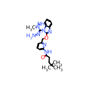 CN(N)/C(=N\N)n1c(OCc2cccc(NC(=O)CCC(C)(C)C)n2)nc2ccccc21